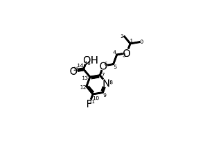 CC(C)OCCOc1ncc(F)cc1C(=O)O